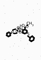 COC(=O)c1cc(SCc2ccccc2)ccc1NS(=O)(=O)N1CCN(c2ccccc2)CC1